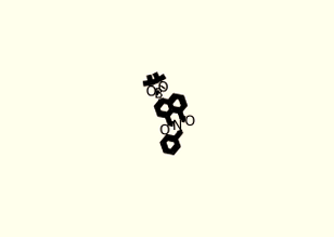 CC1(C)OB(c2ccc3c4c(cccc24)C(=O)N(Cc2ccccc2)C3=O)OC1(C)C